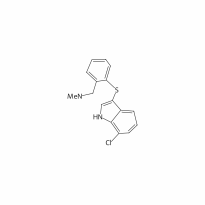 CNCc1ccccc1Sc1c[nH]c2c(Cl)cccc12